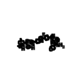 C=CC[C@H](NC(=O)OC)C(=O)N1CCC[C@H]1c1ncc(-c2ccc3nc(-c4ccc(-c5cnc([C@@H]6CCCN6C(=O)[C@@H](N)C6CCOCC6)[nH]5)cc4F)ccc3c2)[nH]1